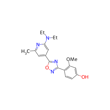 CCN(CC)c1cc(-c2nc(-c3ccc(O)cc3OC)no2)cc(C)n1